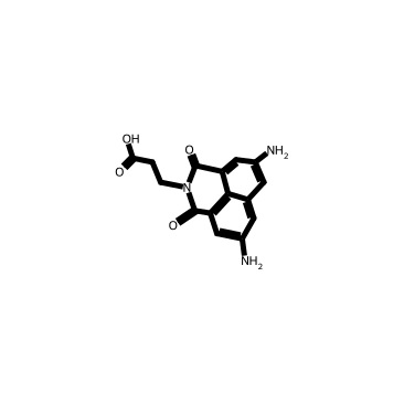 Nc1cc2c3c(cc(N)cc3c1)C(=O)N(CCC(=O)O)C2=O